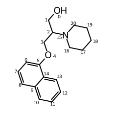 OCC(COc1cccc2ccccc12)N1CCCCC1